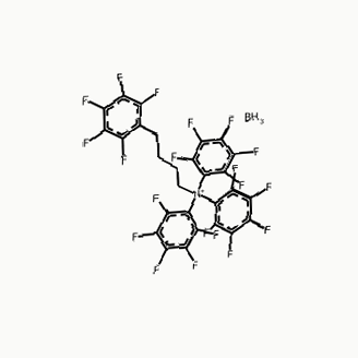 B.Fc1c(F)c(F)c(CCCC[N+](c2c(F)c(F)c(F)c(F)c2F)(c2c(F)c(F)c(F)c(F)c2F)c2c(F)c(F)c(F)c(F)c2F)c(F)c1F